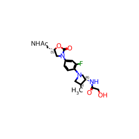 CC(=O)NC[C@H]1CN(c2ccc(N3C[C@H](NC(=O)CO)[C@@H](C)C3)c(F)c2)C(=O)O1